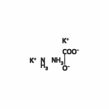 N.N.O=C([O-])[O-].[K+].[K+]